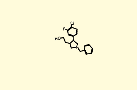 OCCC1CN(Cc2ccccc2)CC1c1ccc(Cl)c(F)c1